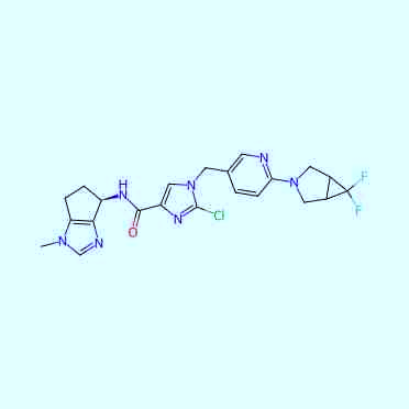 Cn1cnc2c1CC[C@H]2NC(=O)c1cn(Cc2ccc(N3CC4C(C3)C4(F)F)nc2)c(Cl)n1